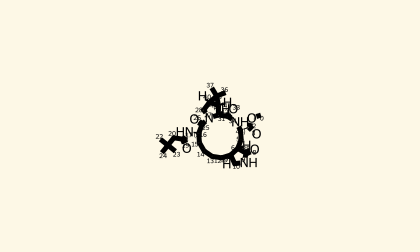 COC(=O)[C@@H]1C[C@@H]2C(=O)NC[C@@H]2CCCC[C@H](NC(=O)CC(C)(C)C)C(=O)N2C[C@H]3[C@@H]([C@H]2C(=O)N1)C3(C)C